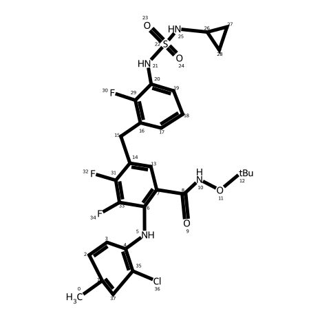 Cc1ccc(Nc2c(C(=O)NOC(C)(C)C)cc(Cc3cccc(NS(=O)(=O)NC4CC4)c3F)c(F)c2F)c(Cl)c1